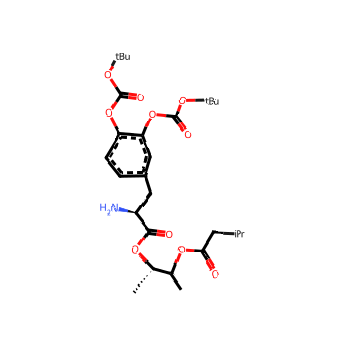 CC(C)CC(=O)OC(C)[C@H](C)OC(=O)[C@@H](N)Cc1ccc(OC(=O)OC(C)(C)C)c(OC(=O)OC(C)(C)C)c1